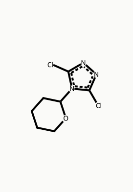 Clc1nnc(Cl)n1C1CCCCO1